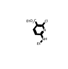 CCNc1ccc(C(=O)OCC)c(Cl)n1